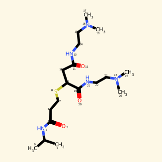 CC(C)NC(=O)CCSC(CC(=O)NCCN(C)C)C(=O)NCCN(C)C